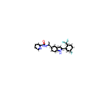 CC(NC(=O)c1ccccn1)c1ccc2[nH]c(-c3cc(F)ccc3C(F)F)cc2c1